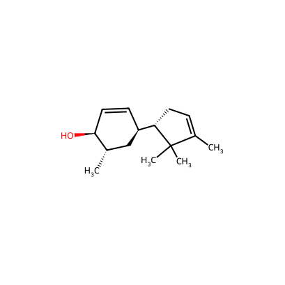 CC1=CC[C@@H]([C@@H]2C=C[C@H](O)[C@@H](C)C2)C1(C)C